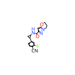 N#Cc1ccc(C2CC2NC(=O)c2cc3n(n2)CCCO3)cc1F